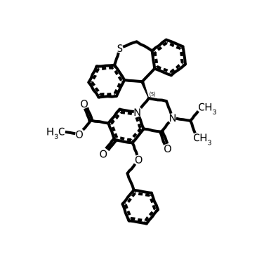 COC(=O)c1cn2c(c(OCc3ccccc3)c1=O)C(=O)N(C(C)C)C[C@@H]2C1c2ccccc2CSc2ccccc21